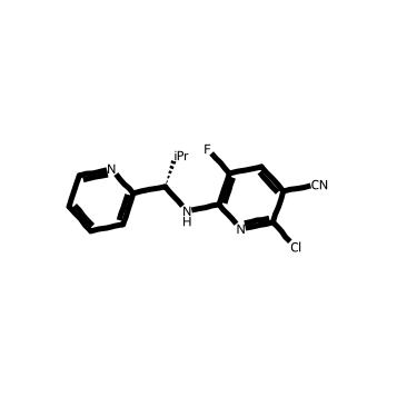 CC(C)[C@H](Nc1nc(Cl)c(C#N)cc1F)c1ccccn1